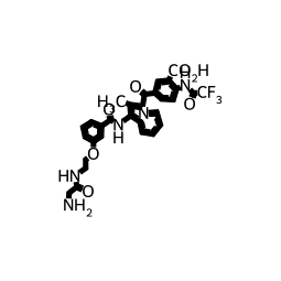 Cc1c(NC(=O)c2cccc(OCCNC(=O)CN)c2)c2ccccn2c1C(=O)c1ccc(NC(=O)C(F)(F)F)c(C(=O)O)c1